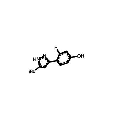 CCC(C)c1cc(-c2ccc(O)cc2F)n[nH]1